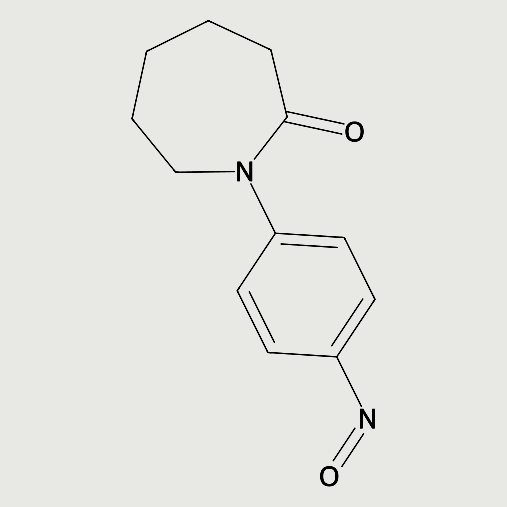 O=Nc1ccc(N2CCCCCC2=O)cc1